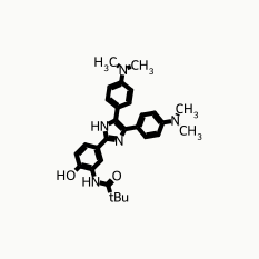 CN(C)c1ccc(-c2nc(-c3ccc(O)c(NC(=O)C(C)(C)C)c3)[nH]c2-c2ccc(N(C)C)cc2)cc1